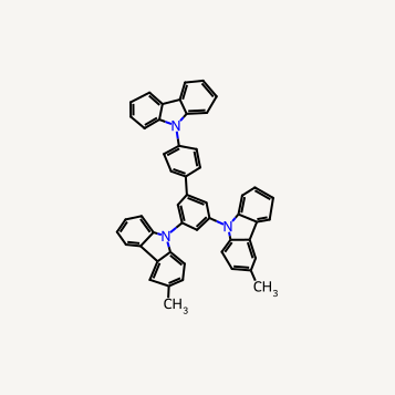 Cc1ccc2c(c1)c1ccccc1n2-c1cc(-c2ccc(-n3c4ccccc4c4ccccc43)cc2)cc(-n2c3ccccc3c3cc(C)ccc32)c1